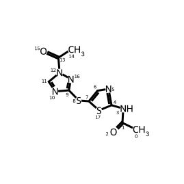 CC(=O)Nc1ncc(Sc2ncn(C(C)=O)n2)s1